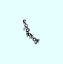 Cc1nc(-c2ccc(N3CCC(N4CCCC4)CC3)c(F)c2)cc2c1nc(-c1ccc(S(C)(=O)=O)cc1)n2C